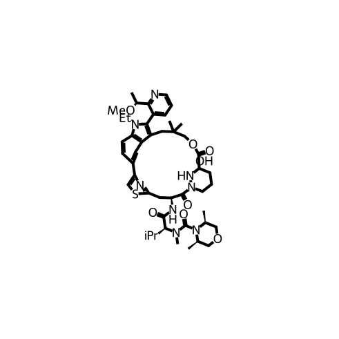 CCn1c(-c2cccnc2[C@H](C)OC)c2c3cc(ccc31)-c1csc(n1)C[C@H](NC(=O)[C@H](C(C)C)N(C)C(=O)N1[C@H](C)COC[C@@H]1C)C(=O)N1CCC[C@@](O)(N1)C(=O)OCC(C)(C)C2